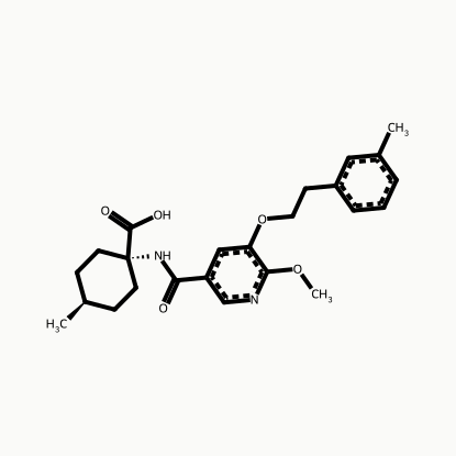 COc1ncc(C(=O)N[C@]2(C(=O)O)CC[C@@H](C)CC2)cc1OCCc1cccc(C)c1